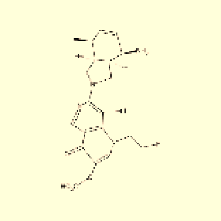 C[C@H]1C=C[C@@H](N)[C@H]2CN(c3ncc4c(=O)c(OC(=O)O)cn(CCF)c4c3Cl)C[C@H]21